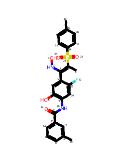 C/C(=C(/NO)c1cc(O)c(NC(=O)c2cccc(C)c2)cc1F)S(=O)(=O)c1ccc(C)cc1